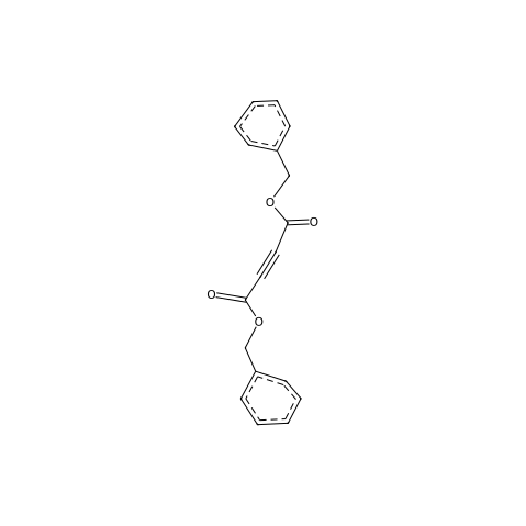 O=C(C#CC(=O)OCc1ccccc1)OCc1ccccc1